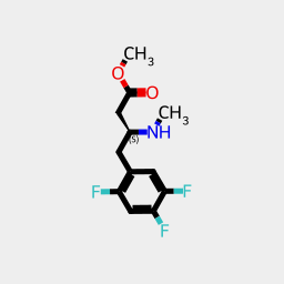 CN[C@H](CC(=O)OC)Cc1cc(F)c(F)cc1F